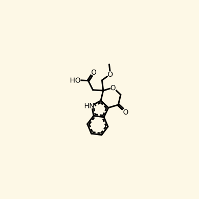 COCC1(CC(=O)O)OCC(=O)c2c1[nH]c1ccccc21